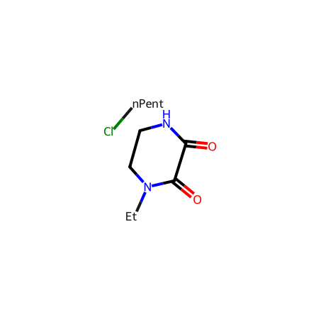 CCCCCCl.CCN1CCNC(=O)C1=O